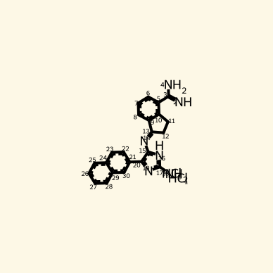 Cl.Cl.N=C(N)c1cccc2c1CCC2=Nc1[nH]c(N)nc1-c1ccc2ccccc2c1